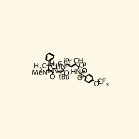 CN[C@H](C(=O)N[C@H](C(=O)N(C)[C@H](C=C(C)C(=O)NS(=O)(=O)c1ccc(OC(F)(F)F)cc1)C(C)C)C(C)(C)C)C(C)(C)c1ccccc1